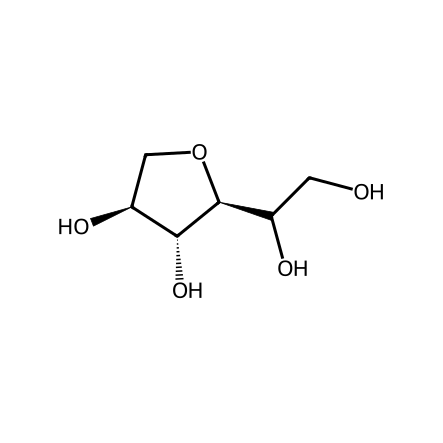 OCC(O)[C@@H]1OC[C@H](O)[C@H]1O